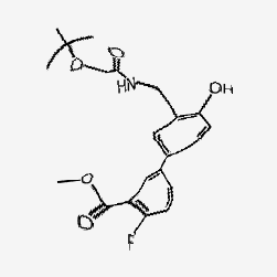 COC(=O)c1cc(-c2ccc(O)c(CNC(=O)OC(C)(C)C)c2)ccc1F